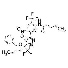 C=CCCC(=O)Nc1nc(-c2nnc(C(CCC=C)(OCc3ccccc3)C(F)(F)F)o2)c([N+](=O)[O-])cc1C(F)(F)F